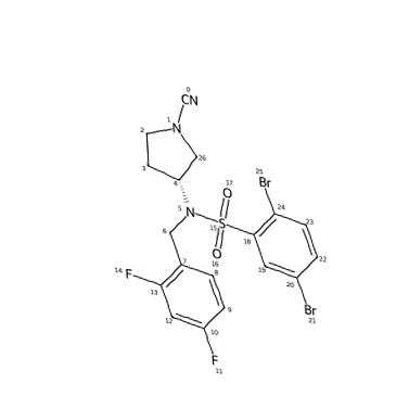 N#CN1CC[C@@H](N(Cc2ccc(F)cc2F)S(=O)(=O)c2cc(Br)ccc2Br)C1